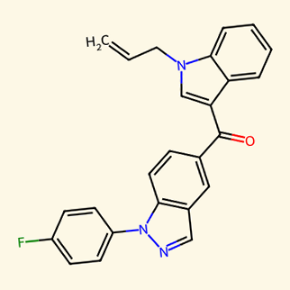 C=CCn1cc(C(=O)c2ccc3c(cnn3-c3ccc(F)cc3)c2)c2ccccc21